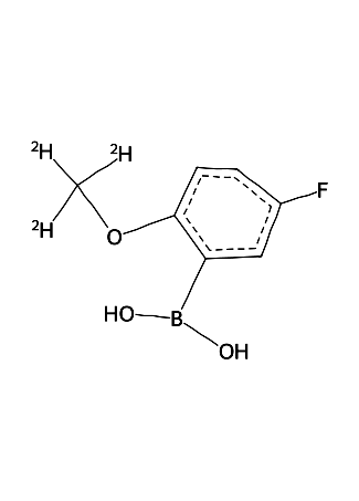 [2H]C([2H])([2H])Oc1ccc(F)cc1B(O)O